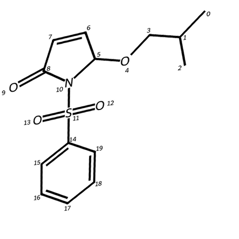 CC(C)COC1C=CC(=O)N1S(=O)(=O)c1ccccc1